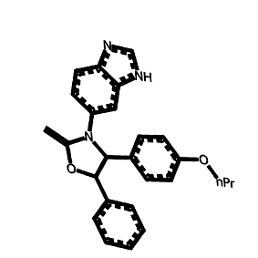 C=C1OC(c2ccccc2)C(c2ccc(OCCC)cc2)N1c1ccc2nc[nH]c2c1